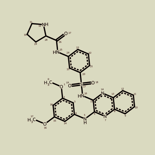 COc1cc(Nc2nc3ccccc3nc2NS(=O)(=O)c2cccc(NC(=O)C3CCCN3)c2)cc(OC)c1